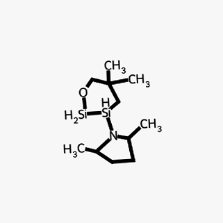 CC1CCC(C)N1[SiH]1CC(C)(C)CO[SiH2]1